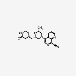 C[C@@H]1CN(c2cnc(C#N)c3ncccc23)C[C@H](CN2CCNC(=O)C2)O1